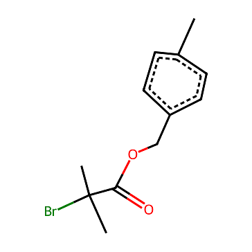 Cc1ccc(COC(=O)C(C)(C)Br)cc1